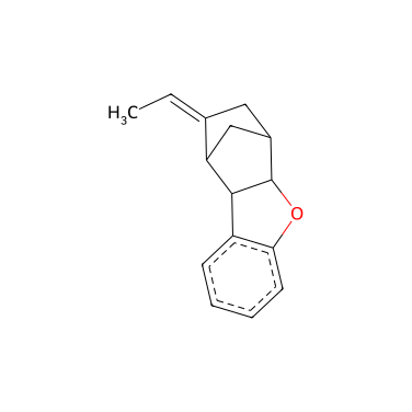 C/C=C1/CC2CC1C1c3ccccc3OC21